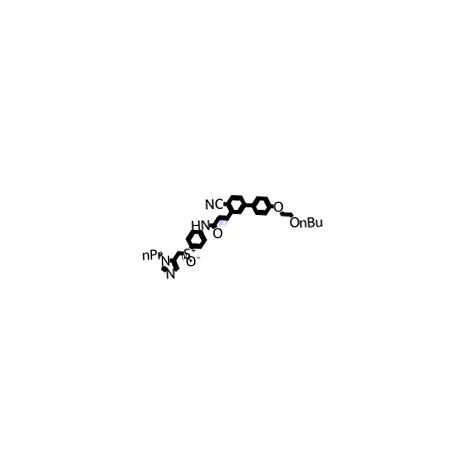 CCCCOCCOc1ccc(-c2ccc(C#N)c(/C=C/C(=O)Nc3ccc([S@@+]([O-])Cc4cncn4CCC)cc3)c2)cc1